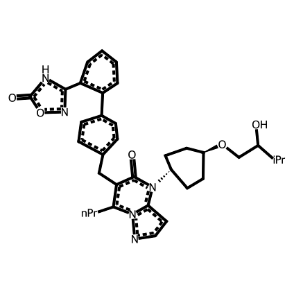 CCCc1c(Cc2ccc(-c3ccccc3-c3noc(=O)[nH]3)cc2)c(=O)n([C@H]2CC[C@H](OCC(O)C(C)C)CC2)c2ccnn12